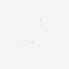 C=C/C=C(\C=C\C(/C(=C/C(C)=C\CC)C(C)OCCO)c1cc(-c2ccc(OCCO)cc2)ccc1OCCN=O)c1ccc(OCCO)cc1